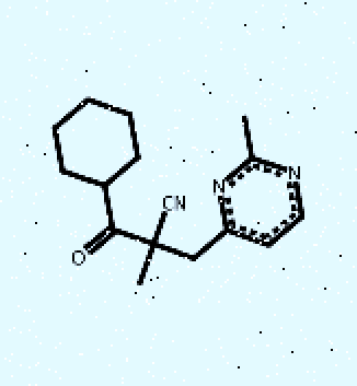 Cc1nccc(CC(C)(C#N)C(=O)C2CCCCC2)n1